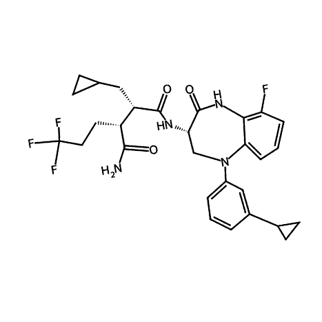 NC(=O)[C@H](CCC(F)(F)F)[C@H](CC1CC1)C(=O)N[C@H]1CN(c2cccc(C3CC3)c2)c2cccc(F)c2NC1=O